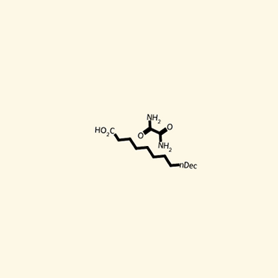 CCCCCCCCCCCCCCCCCC(=O)O.NC(=O)C(N)=O